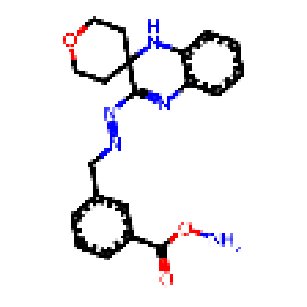 NOC(=O)c1cccc(CN=NC2=Nc3ccccc3NC23CCOCC3)c1